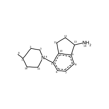 CC1CCN(c2cccc3c2CCC3N)CC1